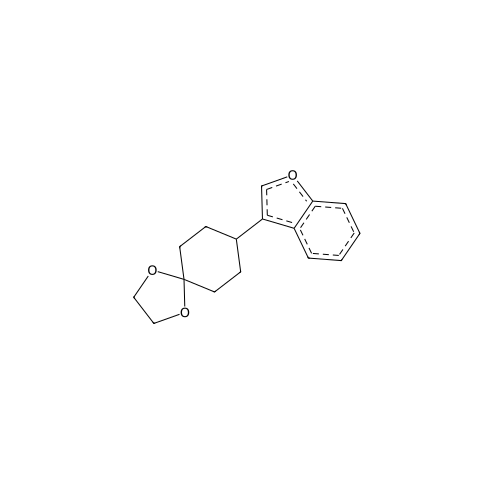 c1ccc2c(C3CCC4(CC3)OCCO4)coc2c1